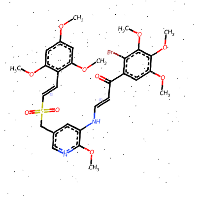 COc1cc(OC)c(/C=C/S(=O)(=O)Cc2cnc(OC)c(N/C=C/C(=O)c3cc(OC)c(OC)c(OC)c3Br)c2)c(OC)c1